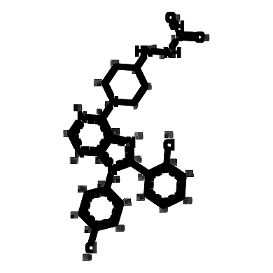 O=[SH](=O)NNC1CCN(c2ncnc3c2nc(-c2ccccc2Cl)n3-c2ccc(Cl)cc2)CC1